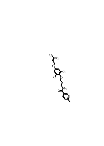 Cc1ccc(C(=O)NCCCOc2c(Cl)cc(OCC=C(Cl)Cl)cc2Cl)cn1